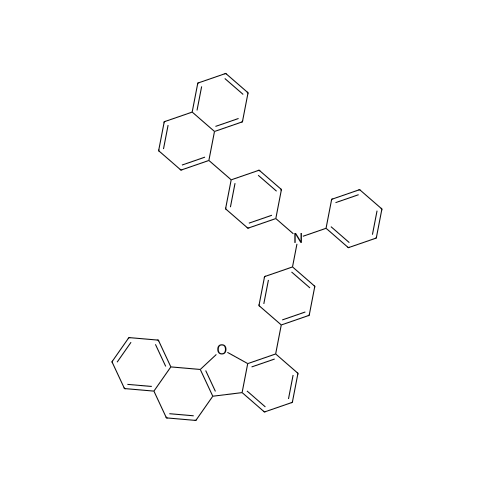 c1ccc(N(c2ccc(-c3cccc4ccccc34)cc2)c2ccc(-c3cccc4c3oc3c5ccccc5ccc43)cc2)cc1